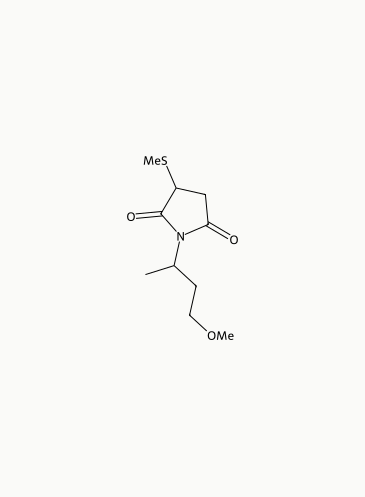 COCCC(C)N1C(=O)CC(SC)C1=O